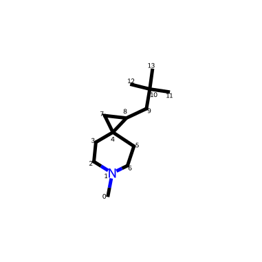 CN1CCC2(CC1)CC2CC(C)(C)C